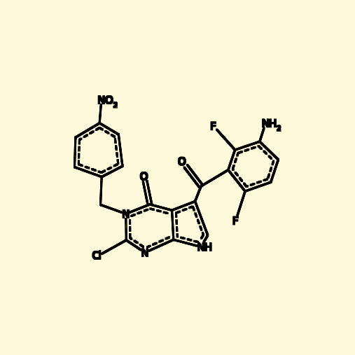 Nc1ccc(F)c(C(=O)c2c[nH]c3nc(Cl)n(Cc4ccc([N+](=O)[O-])cc4)c(=O)c23)c1F